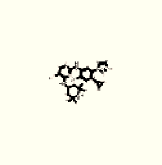 CC1(C)CC(Nc2nc(Nc3cc(-n4ccnn4)c(C4CC4)cc3F)ncc2F)CC(C)(C)N1